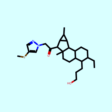 CCC1CCC2C(CCC3(C)C(C(=O)Cn4cc(SC)cn4)C4C(C)C4C23)C1CCCO